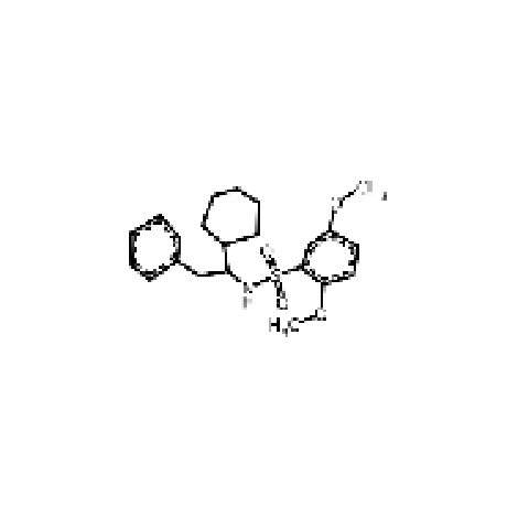 COc1ccc(OC)c(S(=O)(=O)NC(Cc2ccccc2)C2CCCCC2)c1